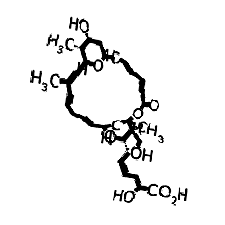 CC1=C\[C@H]2O[C@@H](C/C=C/C=C/C(=O)O[C@@H]3C[C@@H](/C=C/C\C=C\1)O[C@@H](C/C=C\CC(O)C(=O)O)[C@]3(C)CO)C[C@H](O)[C@H]2C